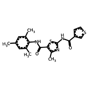 Cc1cc(C)c(NC(=O)c2sc(NC(=O)c3ccsc3)nc2C)c(C)c1